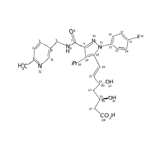 Cc1ccc(CNC(=O)c2nn(-c3ccc(F)cc3)c(C=C[C@H](O)C[C@@H](O)CC(=O)O)c2C(C)C)cn1